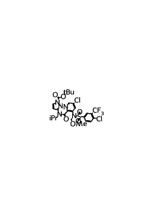 COCN(c1cc(Cl)cnc1C(=O)N(c1ccn(C(=O)OC(C)(C)C)n1)C(C)C)S(=O)(=O)c1ccc(Cl)c(C(F)(F)F)c1